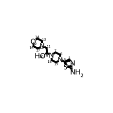 Nc1ncc(N2CCN(C(O)CN3CCOCC3)CC2)s1